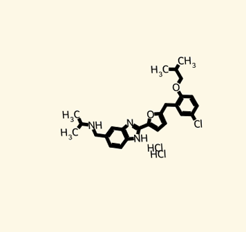 CC(C)COc1ccc(Cl)cc1Cc1ccc(-c2nc3cc(CNC(C)C)ccc3[nH]2)o1.Cl.Cl